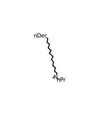 CCCCCCCCCCCCCCCCCCCCCCCN(C)CCC